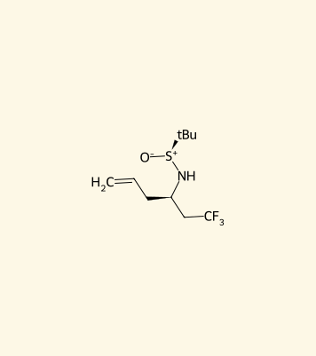 C=CC[C@H](CC(F)(F)F)N[S@@+]([O-])C(C)(C)C